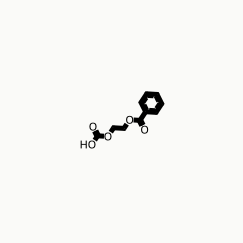 O=C(O)OCCOC(=O)c1ccccc1